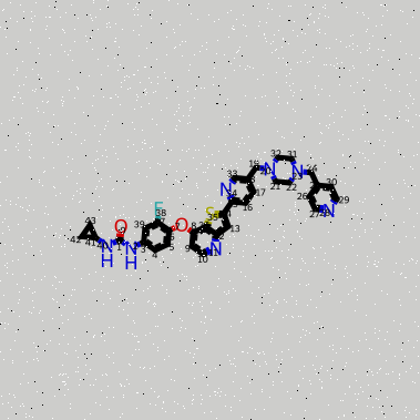 O=C(Nc1ccc(Oc2ccnc3cc(-c4ccc(CN5CCN(Cc6ccncc6)CC5)cn4)sc23)c(F)c1)NC1CC1